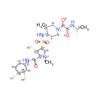 CCNC(=O)C(=O)N1CCC(NS(=O)(=O)c2cn(C)c(C(=O)Nc3ccc(F)c(F)c3)c2F)C(C)C1